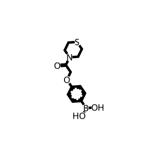 O=C(COc1ccc(B(O)O)cc1)N1CCSCC1